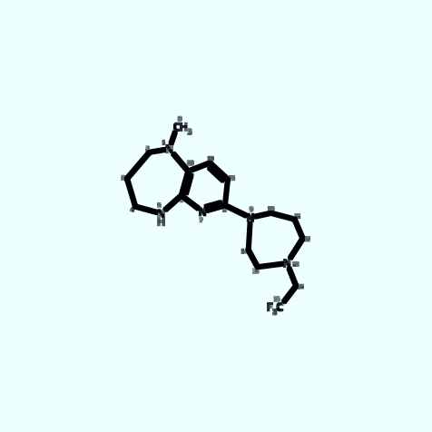 CN1CCCNc2nc(N3CCCN(CC(F)(F)F)CC3)ccc21